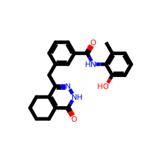 Cc1cccc(O)c1NC(=O)c1cccc(Cc2n[nH]c(=O)c3c2CCCC3)c1